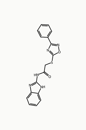 O=C(CSc1nc(-c2ccccc2)no1)Nc1nc2ccccc2[nH]1